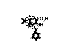 CC1(C)O[C@@H]2[C@@H](OCc3ccccc3)[C@H](O)[C@@H](C(=O)O)O[C@]2(C)O1